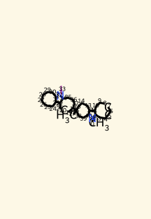 CN1C2CCCCCCCCC2C2CCCC(C)(C3CCCC4C5CCCCCCCC5N(I)C4CCC3)CCC21